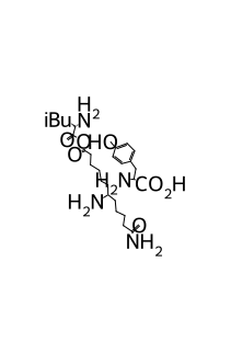 CC[C@H](C)[C@H](N)C(=O)OC(=O)CCCCCC(N)CCCCC(N)=O.N[C@@H](Cc1ccc(O)cc1)C(=O)O